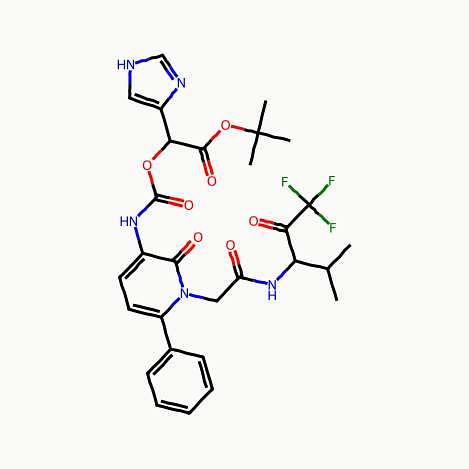 CC(C)C(NC(=O)Cn1c(-c2ccccc2)ccc(NC(=O)OC(C(=O)OC(C)(C)C)c2c[nH]cn2)c1=O)C(=O)C(F)(F)F